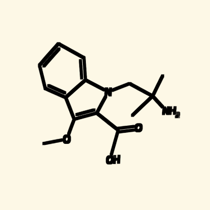 COc1c(C(=O)O)n(CC(C)(C)N)c2ccccc12